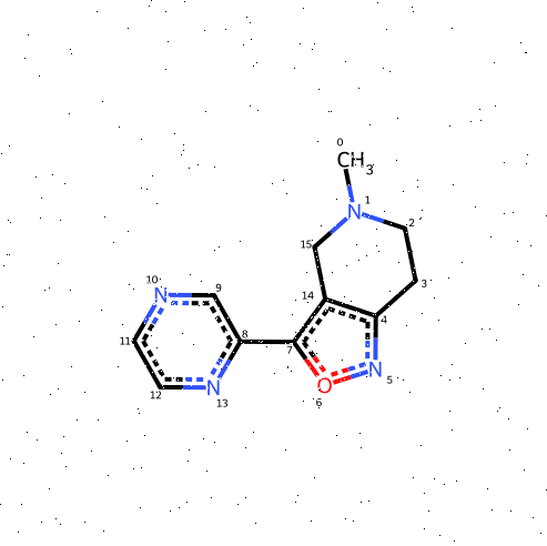 CN1CCc2noc(-c3cnccn3)c2C1